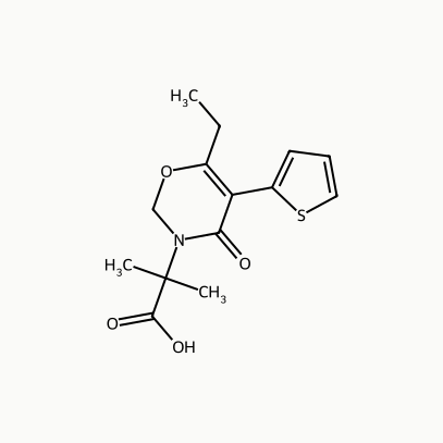 CCC1=C(c2cccs2)C(=O)N(C(C)(C)C(=O)O)CO1